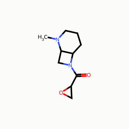 CN1CCCC2C1CN2C(=O)C1CO1